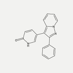 O=c1ccc(-c2c(-c3ccccc3)nn3ccccc23)c[nH]1